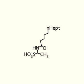 CCCCCCCCCCCC(=O)NC(C)S(=O)(=O)O